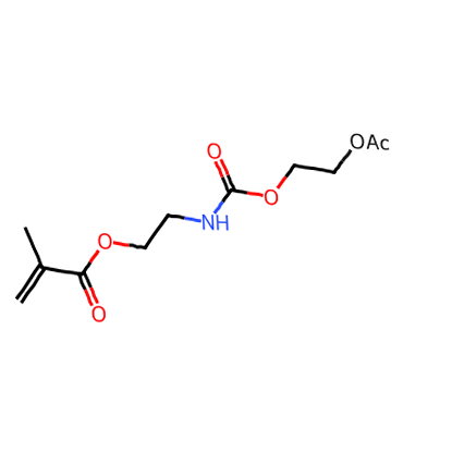 C=C(C)C(=O)OCCNC(=O)OCCOC(C)=O